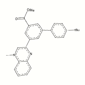 COC(=O)c1cc(-c2ccc(C(C)(C)C)cc2)cc(-c2c[n+](C)c3ccccc3n2)c1